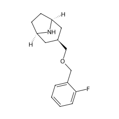 Fc1ccccc1COC[C@H]1C[C@H]2CC[C@@H](C1)N2